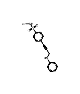 CC(C)NS(=O)(=O)c1ccc(C#CCNc2ccccc2)cc1